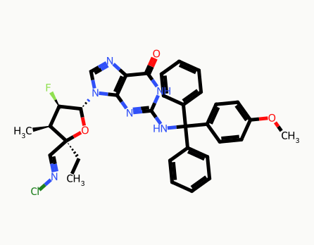 CC[C@@]1(/C=N/Cl)O[C@@H](n2cnc3c(=O)[nH]c(NC(c4ccccc4)(c4ccccc4)c4ccc(OC)cc4)nc32)[C@H](F)[C@@H]1C